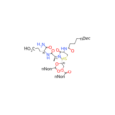 CCCCCCCCCCCCCC(=O)NC(CS)C(=O)N(C[C@H](COC(=O)CCCCCCCCC)OC(=O)CCCCCCCCC)[C@@H](C)C(=O)N[C@H](CCC(=O)O)C(N)=O